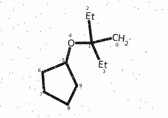 [CH2]C(CC)(CC)OC1CCCC1